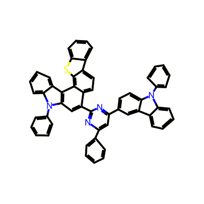 c1ccc(-c2cc(-c3ccc4c(c3)c3ccccc3n4-c3ccccc3)nc(-c3cc4c(c5ccccc5n4-c4ccccc4)c4c3ccc3c5ccccc5sc34)n2)cc1